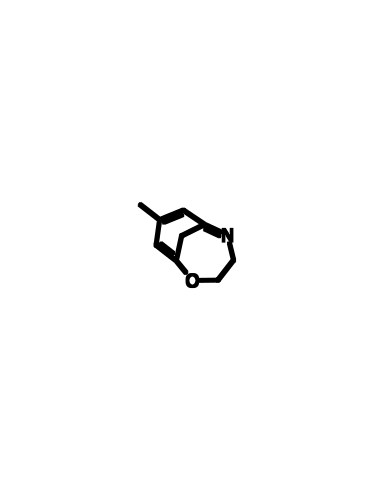 CC1=CC2=NCCOC(=C1)C2